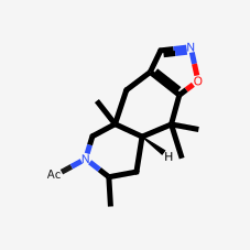 CC(=O)N1CC2(C)Cc3cnoc3C(C)(C)[C@@H]2CC1C